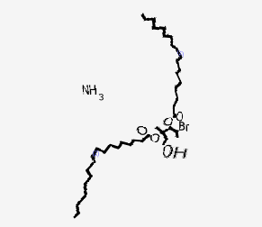 CCCCCCCC/C=C\CCCCCCCC(=O)OC(C(C)Br)C(C)(CCO)OC(=O)CCCCCCC/C=C\CCCCCCCC.N